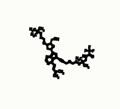 CN(C)/C=N/c1ncnc2c1c(C#CCOCSSC(C)(C)CNC(=O)C(F)(F)F)cn2[C@H]1CC(OCSSC(C)(C)C)[C@@H](CO)O1